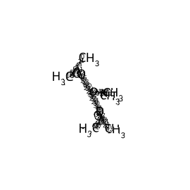 CCCCCC(CCCCC)CC(=O)OCCCCCCCCCC(CCCCCCCCCOC(=O)CC(CCCCC)CCCCC)OCCCCN(C)C